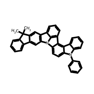 CC1(C)c2ccccc2-c2cc3c(cc21)c1cccc2c4c5c6ccccc6n(-c6ccccc6)c5ccc4n3c12